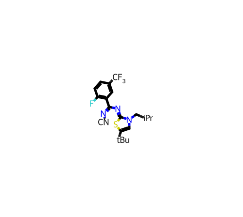 CC(C)Cn1cc(C(C)(C)C)s/c1=N\C(=NC#N)c1cc(C(F)(F)F)ccc1F